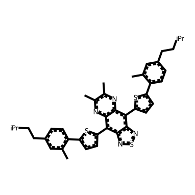 Cc1cc(CCC(C)C)ccc1-c1ccc(-c2c3nsnc3c(-c3ccc(-c4ccc(CCC(C)C)cc4C)s3)c3nc(C)c(C)nc23)s1